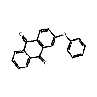 O=C1c2ccccc2C(=O)c2cc(Oc3ccccc3)ccc21